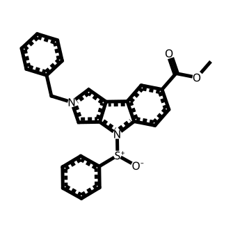 COC(=O)c1ccc2c(c1)c1cn(Cc3ccccc3)cc1n2[S+]([O-])c1ccccc1